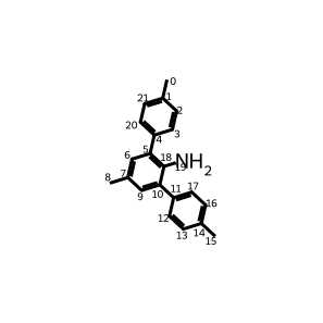 Cc1ccc(-c2cc(C)cc(-c3ccc(C)cc3)c2N)cc1